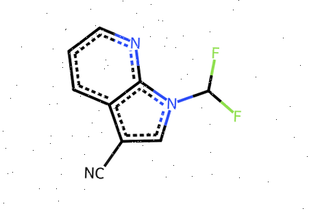 N#Cc1cn(C(F)F)c2ncccc12